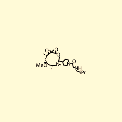 CO[C@]1(C)C[C@@H](C)CN(C)C(C2CCN(C(=O)CNCC(C)C)CC2)COC(=O)C(C)(C)C(=O)[C@H](C)C1